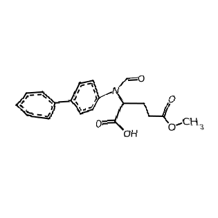 COC(=O)CCC(C(=O)O)N(C=O)c1ccc(-c2ccccc2)cc1